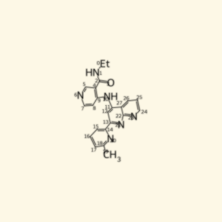 CCNC(=O)c1cnccc1Nc1cc(-c2cccc(C)n2)nc2ncccc12